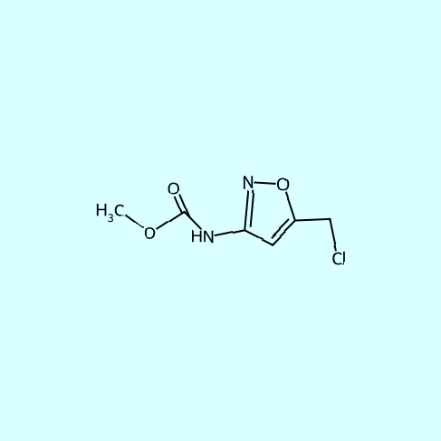 COC(=O)Nc1cc(CCl)on1